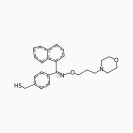 SCc1ccc(/C(=N/OCCCN2CCOCC2)c2cccc3ccccc23)cc1